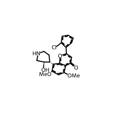 COc1cc(OC)c2c(=O)cc(-c3ccccc3Cl)oc2c1[C@H]1CCNC[C@@H]1O